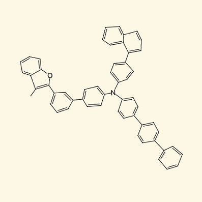 Cc1c(-c2cccc(-c3ccc(N(c4ccc(-c5ccc(-c6ccccc6)cc5)cc4)c4ccc(-c5cccc6ccccc56)cc4)cc3)c2)oc2ccccc12